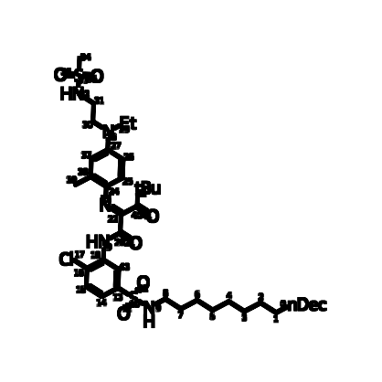 CCCCCCCCCCCCCCCCCCNS(=O)(=O)c1ccc(Cl)c(NC(=O)C(=Nc2ccc(N(CC)CCNS(C)(=O)=O)cc2C)C(=O)C(C)(C)C)c1